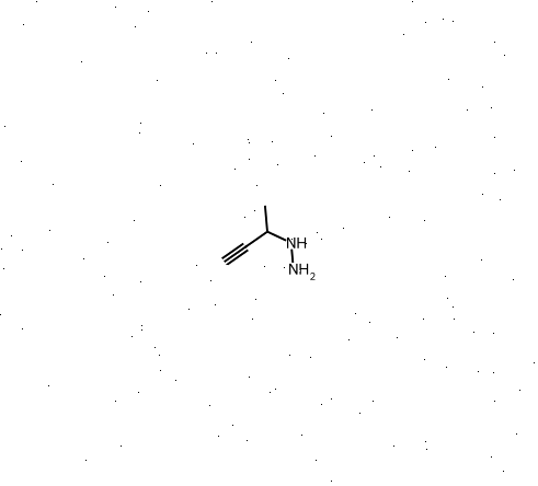 C#CC(C)NN